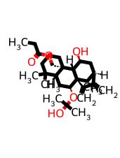 C=C1C(=C)[C@]23[C@H](C)[C@H]1C[C@H](O)[C@H]2[C@]1(COC(=O)CC)CCCC(C)(C)[C@H]1C[C@H]3OC(C)(C)O